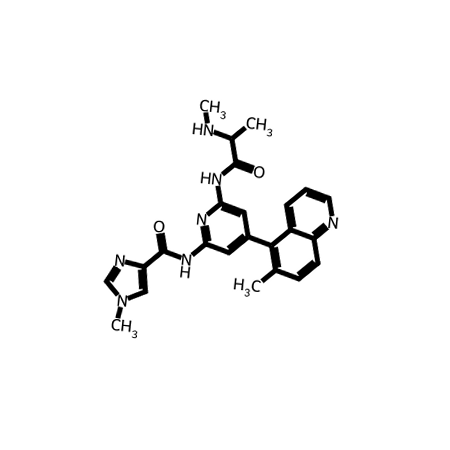 CNC(C)C(=O)Nc1cc(-c2c(C)ccc3ncccc23)cc(NC(=O)c2cn(C)cn2)n1